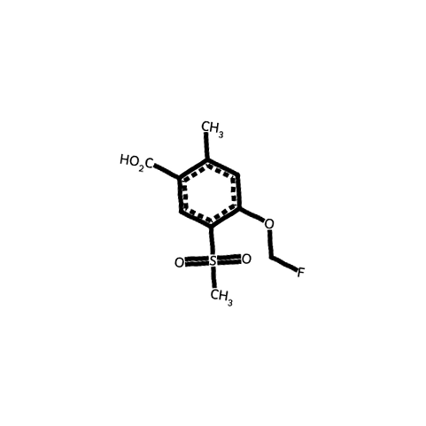 Cc1cc(OCF)c(S(C)(=O)=O)cc1C(=O)O